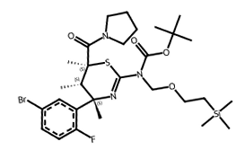 C[C@@H]1[C@@](C)(C(=O)N2CCCC2)SC(N(COCC[Si](C)(C)C)C(=O)OC(C)(C)C)=N[C@]1(C)c1cc(Br)ccc1F